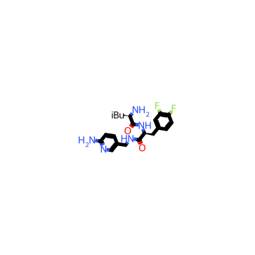 CCC(C)[C@H](N)C(=O)N[C@@H](Cc1ccc(F)c(F)c1)C(=O)NCc1ccc(N)nc1